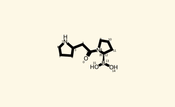 O=C(CC1CCCN1)N1CCC[C@H]1B(O)O